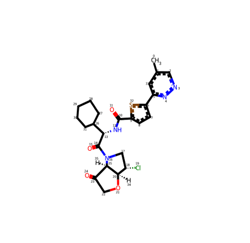 Cc1cnnc(-c2ccc(C(=O)N[C@H](C(=O)N3C[C@H](Cl)[C@H]4OCC(=O)[C@H]43)C3CCCCC3)s2)c1